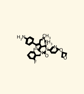 CN(C)Cc1c(-c2ccc(N)cc2)sc2c1c(=O)n(-c1ccc(OC3COC3)nc1)c(=O)n2Cc1c(F)cccc1F